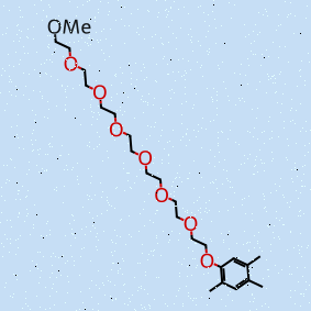 COCCOCCOCCOCCOCCOCCOCCOc1cc(C)c(C)cc1C